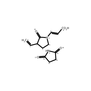 C=CC1CCN(C=CC(=O)O)C1=O.O=C1CCC(=O)N1